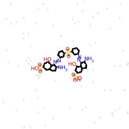 Nc1ccc2cc(S(=O)(=O)O)cc(O)c2c1/N=N/c1cccc(S(=O)(=O)c2cccc(/N=N/c3c(N)ccc4cc(S(=O)(=O)O)cc(O)c34)c2)c1